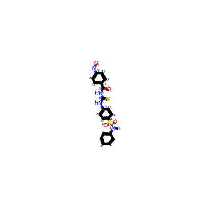 CN(c1ccccc1)S(=O)(=O)c1ccc(NC(=S)NC(=O)c2ccc(N=O)cc2)cc1